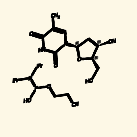 CC(C)N(C(C)C)P(O)OCCC#N.Cc1cn([C@H]2C[C@H](O)[C@@H](CO)O2)c(=O)[nH]c1=O